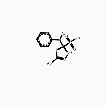 CC(=O)N(c1ccccc1)C1(S(N)(=O)=O)NN=C(N)S1